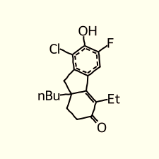 CCCCC12CCC(=O)C(CC)=C1c1cc(F)c(O)c(Cl)c1C2